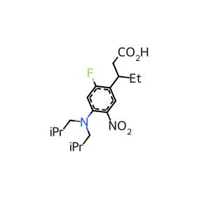 CCC(CC(=O)O)c1cc([N+](=O)[O-])c(N(CC(C)C)CC(C)C)cc1F